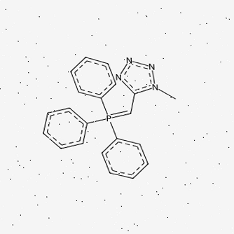 Cn1nnnc1C=P(c1ccccc1)(c1ccccc1)c1ccccc1